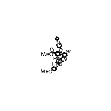 COC(=O)c1cc(Nc2c(S(=O)(=O)NCc3ccc(OC)cc3)cnc3cc(Br)cc(F)c23)cc(OC2CCN(C3CCC3)CC2)c1